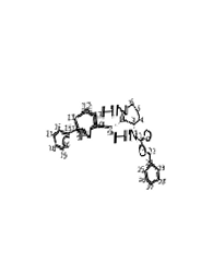 O=C(N[C@H]1CCCN[C@H]1Cc1cccc(-c2ccccc2)n1)OCc1ccccc1